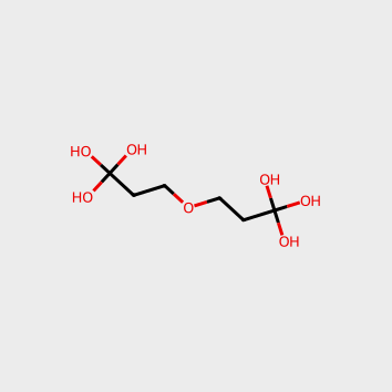 OC(O)(O)CCOCCC(O)(O)O